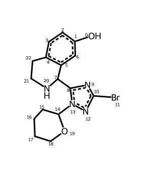 Oc1ccc2c(c1)C(c1nc(Br)nn1C1CCCCO1)NCC2